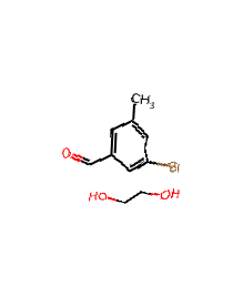 Cc1cc(Br)cc(C=O)c1.OCCO